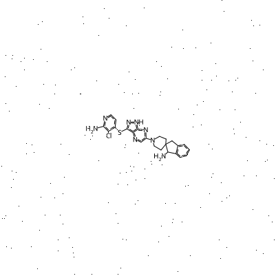 Nc1nccc(Sc2n[nH]c3nc(N4CCC5(CC4)Cc4ccccc4C5N)cnc23)c1Cl